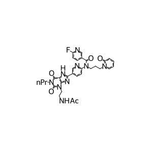 CCCn1c(=O)c2[nH]c(-c3ccc(N(CCCn4ccccc4=O)C(=O)c4ccc(F)nc4)nc3)nc2n(CCNC(C)=O)c1=O